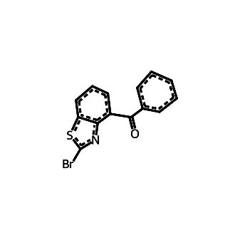 O=C(c1ccccc1)c1cccc2sc(Br)nc12